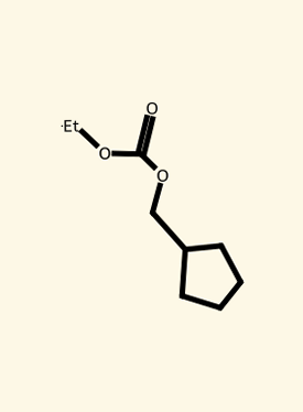 C[CH]OC(=O)OCC1CCCC1